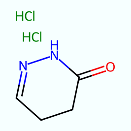 Cl.Cl.O=C1CCC=NN1